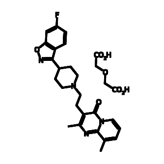 Cc1nc2c(C)cccn2c(=O)c1CCN1CCC(c2noc3cc(F)ccc23)CC1.O=C(O)COCC(=O)O